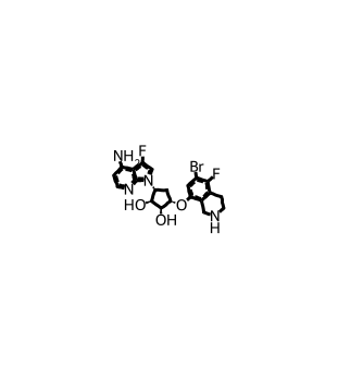 Nc1ccnc2c1c(F)cn2[C@@H]1C[C@H](Oc2cc(Br)c(F)c3c2CNCC3)[C@@H](O)[C@H]1O